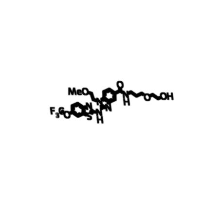 COCCn1c(Nc2nc3ccc(OC(F)(F)F)cc3s2)nc2cc(C(=O)NCCCOCCO)ccc21